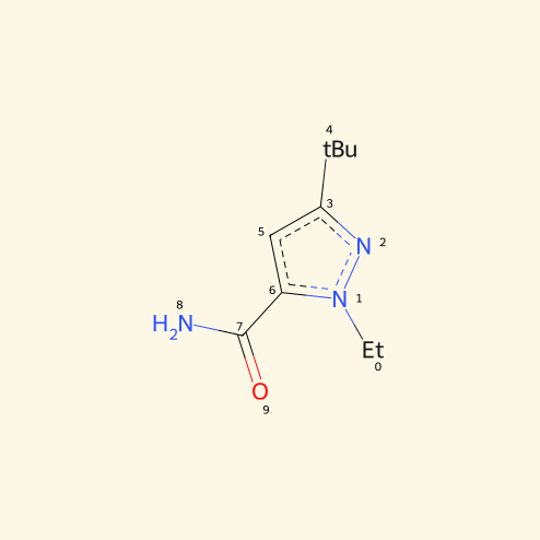 CCn1nc(C(C)(C)C)cc1C(N)=O